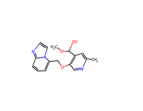 COC(O)c1cc(C)ncc1OCc1cccc2nccn12